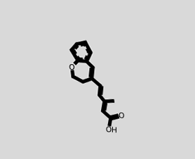 CC(/C=C/C1=Cc2ccccc2OCC1)=C\C(=O)O